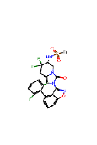 CCS(=O)(=O)N[C@@H]1Cn2c(cn(-c3noc4cccc(-c5c(F)cccc5F)c34)c2=O)CC1(F)F